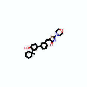 CC1(c2cc(-c3cccc(/C=C4/SC(N5CCOCC5)=NC4=O)c3)ccc2O)CCCCC1